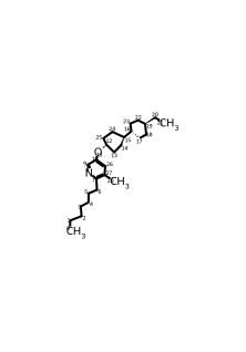 CCCCCCCc1ncc(O[C@H]2CC[C@H]([C@H]3CC[C@H](CC)CC3)CC2)cc1C